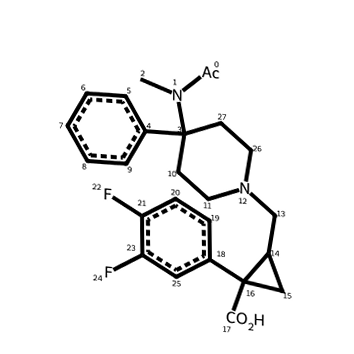 CC(=O)N(C)C1(c2ccccc2)CCN(CC2CC2(C(=O)O)c2ccc(F)c(F)c2)CC1